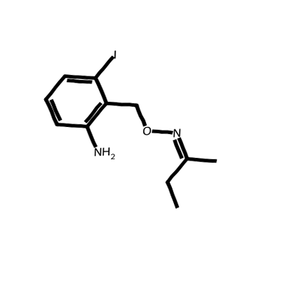 CCC(C)=NOCc1c(N)cccc1I